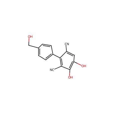 N#Cc1cc(O)c(O)c(C#N)c1-c1ccc(CO)cc1